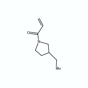 C=CC(=O)N1CCC(CC(C)CC)C1